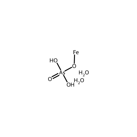 O.O.O=[As](O)(O)[O][Fe]